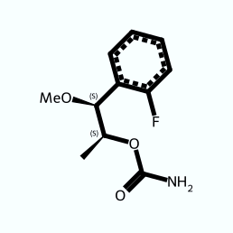 CO[C@@H](c1ccccc1F)[C@H](C)OC(N)=O